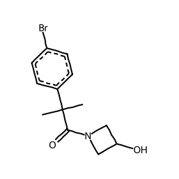 CC(C)(C(=O)N1CC(O)C1)c1ccc(Br)cc1